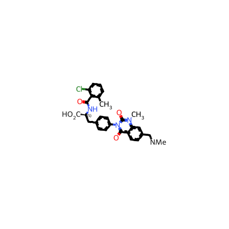 CNCc1ccc2c(=O)n(-c3ccc(C[C@H](NC(=O)c4c(C)cccc4Cl)C(=O)O)cc3)c(=O)n(C)c2c1